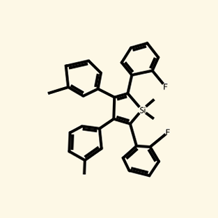 Cc1cccc(C2=C(c3ccccc3F)[Si](C)(C)C(c3ccccc3F)=C2c2cccc(C)c2)c1